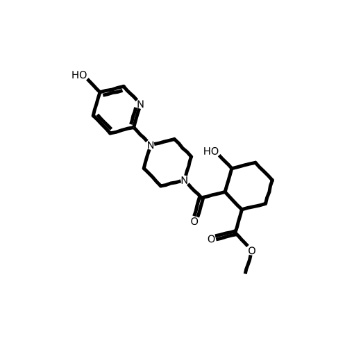 COC(=O)C1CCCC(O)C1C(=O)N1CCN(c2ccc(O)cn2)CC1